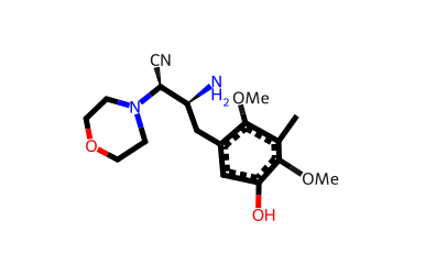 COc1c(O)cc(C[C@H](N)[C@H](C#N)N2CCOCC2)c(OC)c1C